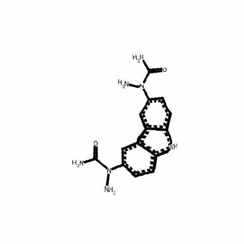 NC(=O)N(N)c1ccc2[nH]c3ccc(N(N)C(N)=O)cc3c2c1